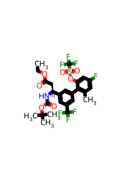 CCOC(=O)C[C@H](NC(=O)OC(C)(C)C)c1cc(-c2c(C)cc(F)cc2OS(=O)(=O)C(F)(F)F)cc(C(F)(F)F)c1